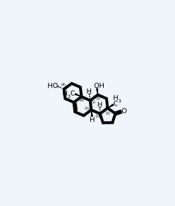 C[C@]12CC[C@@H](O)CC1=CC[C@@H]1[C@@H]2[C@@H](O)C[C@]2(C)C(=O)CC[C@@H]12